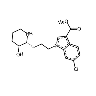 COC(=O)c1cn(CCC[C@H]2NCCC[C@@H]2O)c2cc(Cl)ccc12